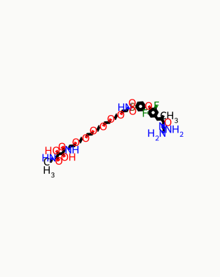 CCNC(=O)C(O)C(O)C(=O)NCCOCCOCCOCCOCCOCCOCCNS(=O)(=O)c1ccc(Oc2c(F)cc(/C=C(\C)C(=O)N=C(N)N)cc2F)cc1